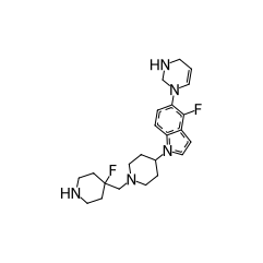 Fc1c(N2C=CCNC2)ccc2c1ccn2C1CCN(CC2(F)CCNCC2)CC1